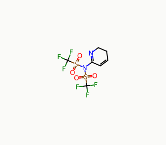 O=S(=O)(N(C1=NCCC=C1)S(=O)(=O)C(F)(F)F)C(F)(F)F